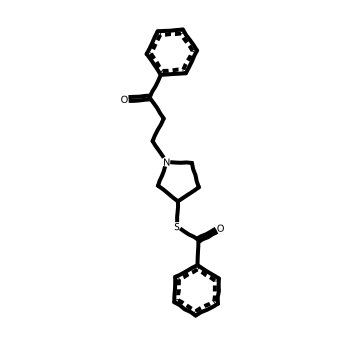 O=C(CCN1CCC(SC(=O)c2ccccc2)C1)c1ccccc1